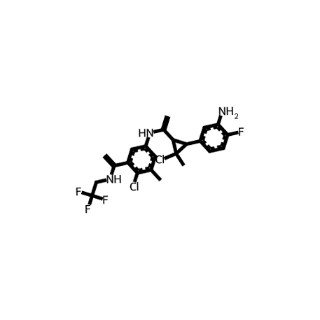 C=C(NCC(F)(F)F)c1cc(NC(=C)C2C(c3ccc(F)c(N)c3)C2(C)Cl)cc(C)c1Cl